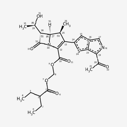 CCC(CC)C(=O)OCOC(=O)C1=C(c2cn3cnc(C(C)=O)c3s2)[C@H](C)[C@@H]2[C@@H]([C@@H](C)O)C(=O)N12